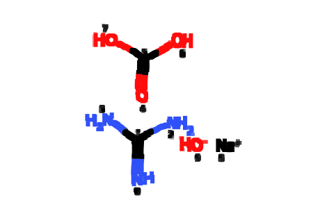 N=C(N)N.O=C(O)O.[Na+].[OH-]